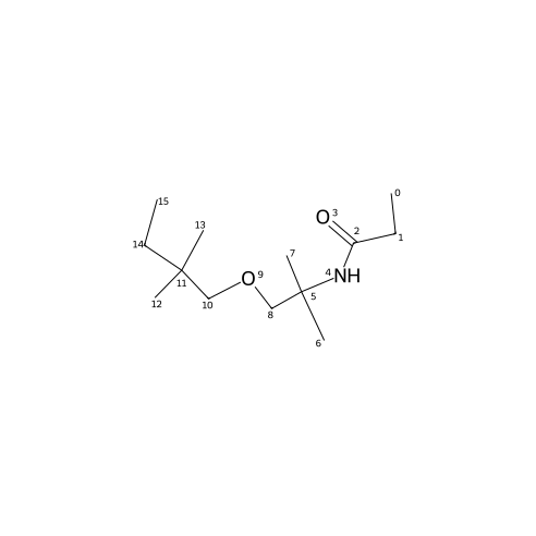 CCC(=O)NC(C)(C)COCC(C)(C)CC